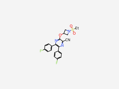 CCS(=O)(=O)N1CC(Oc2nc(-c3ccc(F)cc3)c(-c3ccc(F)cc3)nc2C#N)C1